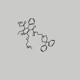 CCC1=C(C(=O)CO)C(c2ccccc2)C(C(=O)NCCCN2CCC(c3ccccc3)(c3ccccc3)CC2)=C(COCCN)N1